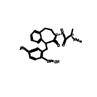 CN[C@@H](C)C(=O)N[C@H]1CCc2ccccc2N(Cc2cc(C(C)C)ccc2OC)C1=O.Cl